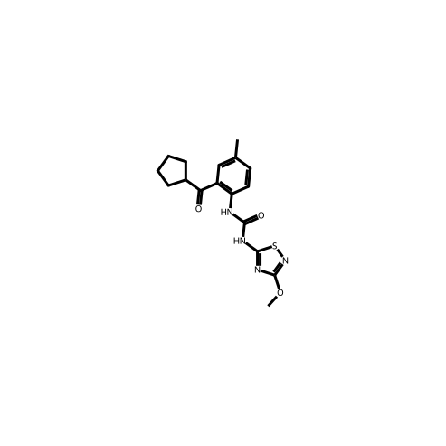 COc1nsc(NC(=O)Nc2ccc(C)cc2C(=O)C2CCCC2)n1